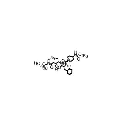 CC[C@H](C)[C@H](NC(=O)C[C@H](O)[C@H](CC(C)C)NC(=O)[C@H](Cc1ccccc1)NC(=O)N1CCC(NC(=O)OC(C)(C)C)CC1)C(=O)O